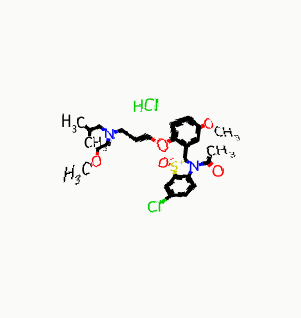 COCCN(CCCOc1ccc(OC)cc1C1N(C(C)=O)c2ccc(Cl)cc2[S+]1[O-])CC(C)C.Cl